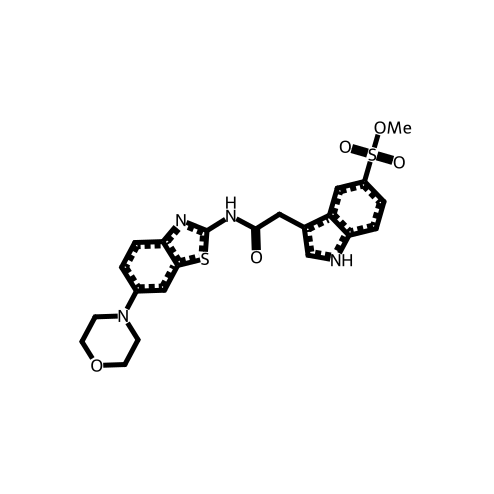 COS(=O)(=O)c1ccc2[nH]cc(CC(=O)Nc3nc4ccc(N5CCOCC5)cc4s3)c2c1